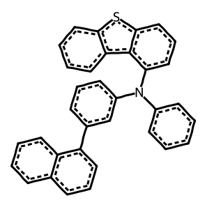 c1ccc(N(c2cccc(-c3cccc4ccccc34)c2)c2cccc3sc4ccccc4c23)cc1